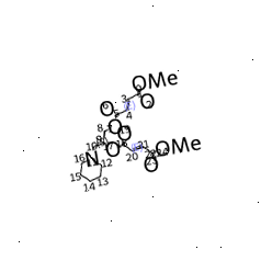 COC(=O)/C=C/C(=O)OC[C@H](CN1CCCCC1)OC(=O)/C=C/C(=O)OC